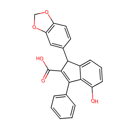 O=C(O)C1=C(c2ccccc2)c2c(O)cccc2C1c1ccc2c(c1)OCO2